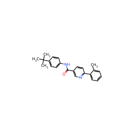 Cc1ccccc1-c1ccc(C(=O)Nc2ccc(C(C)(C)C)cc2)cn1